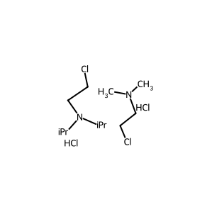 CC(C)N(CCCl)C(C)C.CN(C)CCCl.Cl.Cl